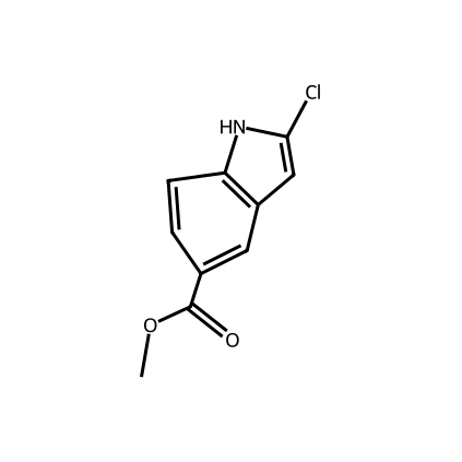 COC(=O)c1ccc2[nH]c(Cl)cc2c1